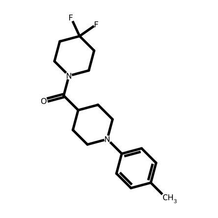 Cc1ccc(N2CCC(C(=O)N3CCC(F)(F)CC3)CC2)cc1